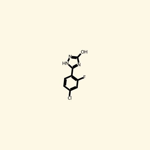 Oc1n[nH]c(-c2ccc(Cl)cc2F)n1